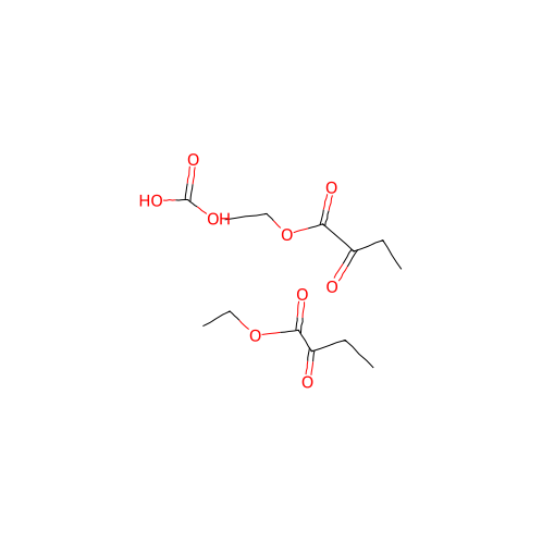 CCOC(=O)C(=O)CC.CCOC(=O)C(=O)CC.O=C(O)O